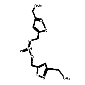 COCc1cc(CO[PH](=O)OCc2cc(COC)no2)on1